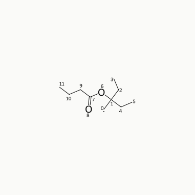 [CH2]C(CC)(CC)OC(=O)CCC